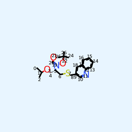 CC(C)OC[C@@H](CSCc1cnc2ccccc2c1)N(C=O)OC(C)(C)C